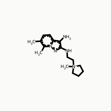 Cc1ccc2c(N)c(NCC[N+]3(C)CCCC3)nn2c1C